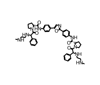 CNCCNC(C(=O)N1CCC[C@H]1C(=O)Nc1ccc(-c2cnc(-c3ccc(NC(=O)[C@@H]4CCCN4C(=O)C(NCCNC)c4ccccc4)cc3)o2)cc1)c1ccccc1